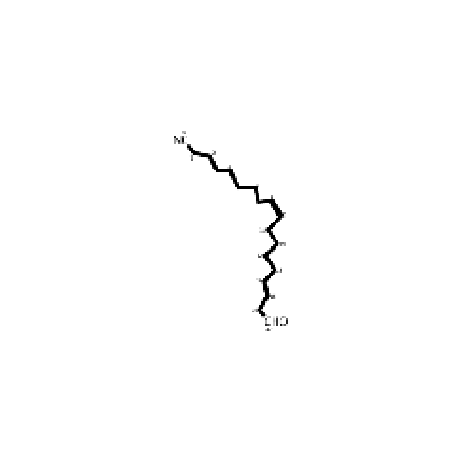 N#CCCCCCCC/C=C\CCCCCCCC=O